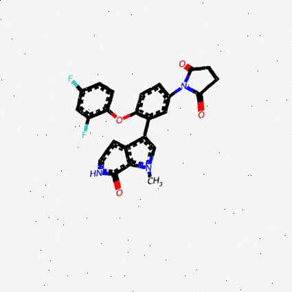 Cn1cc(-c2cc(N3C(=O)CCC3=O)ccc2Oc2ccc(F)cc2F)c2cc[nH]c(=O)c21